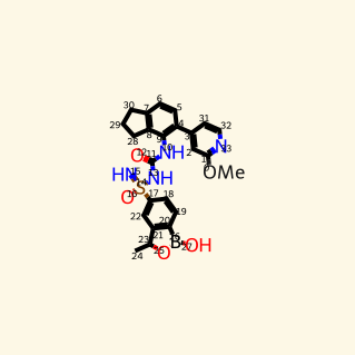 COc1cc(-c2ccc3c(c2NC(=O)NS(=N)(=O)c2ccc4c(c2)C(C)OB4O)CCC3)ccn1